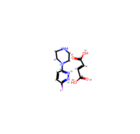 Ic1ccc(N2CCNCC2)nn1.O=C(O)/C=C/C(=O)O